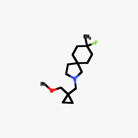 CC(C)OCC1(CN2CCC3(CCC(C)(F)CC3)C2)CC1